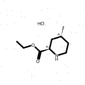 CCOC(=O)[C@H]1C[C@H](C)CCN1.Cl